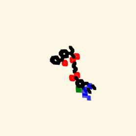 CCC(C(=O)OCCCCOC(=O)c1cc(Br)c(N)c(CN(CC)CC)c1)c1cccc(C(=O)c2ccccc2)c1